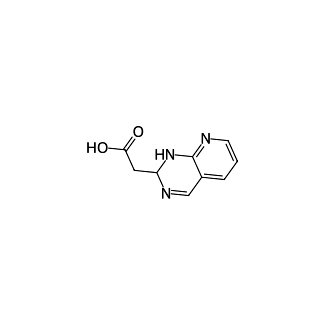 O=C(O)CC1N=Cc2cccnc2N1